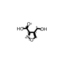 O=C(O)c1nocc1CO